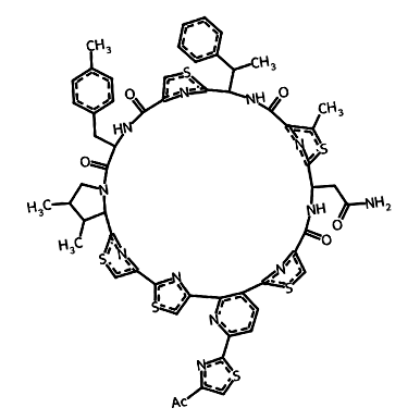 CC(=O)c1csc(-c2ccc3c(n2)-c2csc(n2)-c2csc(n2)C2C(C)C(C)CN2C(=O)C(Cc2ccc(C)cc2)NC(=O)c2csc(n2)C(C(C)c2ccccc2)NC(=O)c2nc(sc2C)C(CC(N)=O)NC(=O)c2csc-3n2)n1